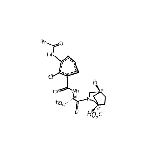 CC(C)C(=O)Nc1cccc(C(=O)N[C@H](C(=O)N2C[C@@H]3CC[C@@]2(C(=O)O)C3)C(C)(C)C)c1Cl